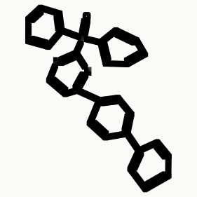 O=P(c1ccccc1)(c1ccccc1)c1nccc(-c2ccc(-c3ccccc3)cc2)n1